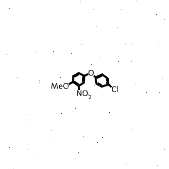 COc1ccc(Oc2ccc(Cl)cc2)cc1[N+](=O)[O-]